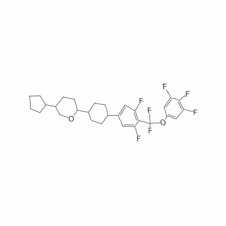 Fc1cc(OC(F)(F)c2c(F)cc(C3CCC(C4CCC(C5CCCC5)CO4)CC3)cc2F)cc(F)c1F